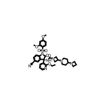 CCOc1ncccc1[C@]1(NC(=O)N2CC(N3CCC(N4CCC4)CC3)C2)C(=O)N(S(=O)(=O)c2ccc(OC)cc2OC)c2ccc(C#N)cc21